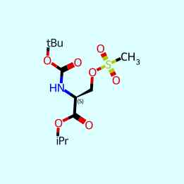 CC(C)OC(=O)[C@H](COS(C)(=O)=O)NC(=O)OC(C)(C)C